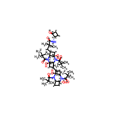 CC(C)(C)C(=O)N1C2CC[C@]2(O)N(C(=O)C(C)(C)C)C2CC(C3C[C@@]4(O)C3N(C(=O)C(C)(C)C)[C@@]3(O)CC(CC(C)(C)C(=O)N[C@H]5CCC5=O)C3N4C(=O)C(C)(C)C)[C@]21O